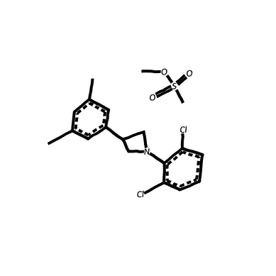 COS(C)(=O)=O.Cc1cc(C)cc(C2CN(c3c(Cl)cccc3Cl)C2)c1